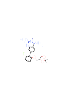 CN1C(N)=Nc2cc(-c3c(F)cccc3OCC3COC(C)(C)O3)ccc2C1N